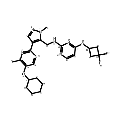 Cc1nc(-c2cnn(C)c2CNc2nccc(OC3CC(F)(F)C3)n2)ncc1OC1CCCCC1